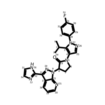 CC(C)c1c(N2CCC(n3nc(-c4ncc[nH]4)c4cccnc43)C2=O)cnn1-c1ccc(F)cc1